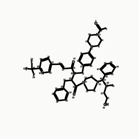 CC(=O)N1CCN(c2ccc(CN(C(=O)C=Cc3ccc(C(F)(F)F)nc3)C(Cc3ccccc3)C(=O)N3CCN([C@@H](c4ccccc4)N(C)CCO)CC3)cc2)CC1